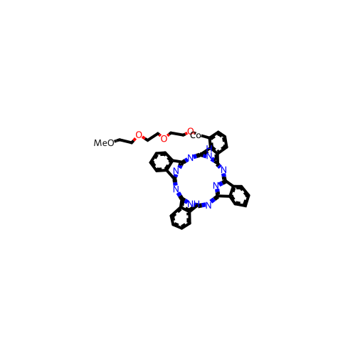 COCCOCCOCC[O][Co][c]1cccc2c3nc4nc(nc5[nH]c(nc6nc(nc([nH]3)c12)-c1ccccc1-6)c1ccccc51)-c1ccccc1-4